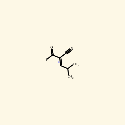 CC(C)/C=C(\C#N)C(=O)I